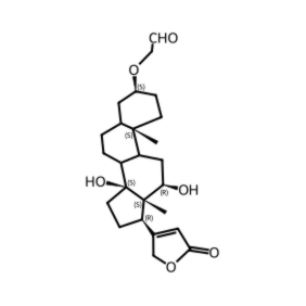 C[C@]12CC[C@H](OCC=O)CC1CCC1C2C[C@@H](O)[C@]2(C)[C@@H](C3=CC(=O)OC3)CC[C@]12O